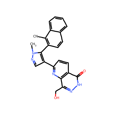 [C-]#[N+]c1c(-c2c(-c3ccc4c(=O)[nH]nc(CO)c4n3)cnn2C)ccc2ccccc12